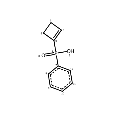 O=P(O)(C1=CCC1)c1ccccc1